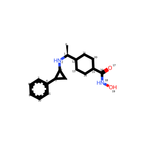 C[C@H](NC1CC1c1ccccc1)C1CCC(C(=O)NO)CC1